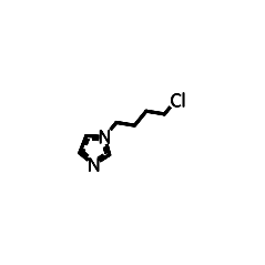 ClCCCCn1ccnc1